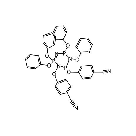 N#Cc1ccc(ON2P(Oc3ccc(C#N)cc3)N(Oc3ccccc3)P(Oc3ccccc3)N=P2(Oc2ccccc2)Oc2ccccc2)cc1